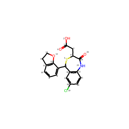 O=C(O)CC1SC(c2cccc3c2OCC3)c2cc(Cl)ccc2NC1=O